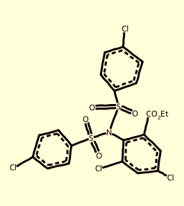 CCOC(=O)c1cc(Cl)cc(Cl)c1N(S(=O)(=O)c1ccc(Cl)cc1)S(=O)(=O)c1ccc(Cl)cc1